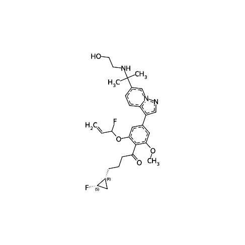 C=CC(F)Oc1cc(-c2cnn3cc(C(C)(C)NCCO)ccc23)cc(OC)c1C(=O)CCC[C@@H]1C[C@@H]1F